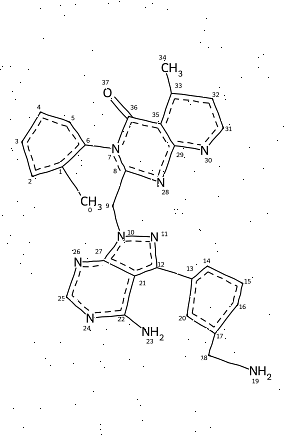 Cc1ccccc1-n1c(Cn2nc(-c3cccc(CN)c3)c3c(N)ncnc32)nc2nccc(C)c2c1=O